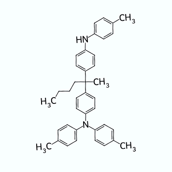 CCCCC(C)(c1ccc(Nc2ccc(C)cc2)cc1)c1ccc(N(c2ccc(C)cc2)c2ccc(C)cc2)cc1